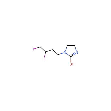 BrC1=NCCN1CCC(I)CI